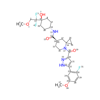 COCC(F)(F)[C@]1(O)CC[C@H](NC(=O)[C@@H]2CCN(C(=O)c3cc(-c4cc(OC)ccc4F)[nH]n3)C3(CC3)C2)CC1